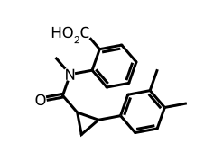 Cc1ccc(C2CC2C(=O)N(C)c2ccccc2C(=O)O)cc1C